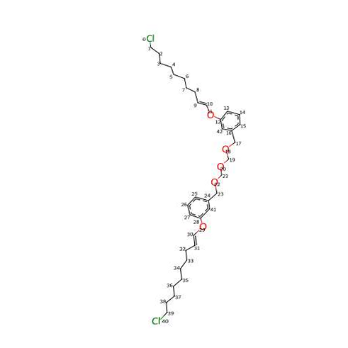 ClCCCCCCCCC=COc1cccc(COCOCOCc2cccc(OC=CCCCCCCCCCl)c2)c1